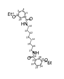 CCOc1cccc(C(=O)NCCCCCCCCNC(=O)c2cccc(OCC)c2)c1